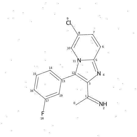 CC(=N)c1nc2ccc(Cl)cn2c1-c1cccc(F)c1